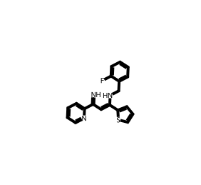 N=C(/C=C(\NCc1ccccc1F)c1cccs1)c1ccccn1